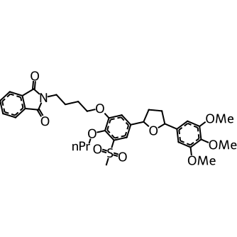 CCCOc1c(OCCCCN2C(=O)c3ccccc3C2=O)cc(C2CCC(c3cc(OC)c(OC)c(OC)c3)O2)cc1S(C)(=O)=O